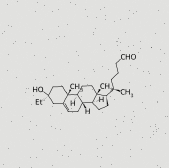 CC[C@]1(O)CC[C@@]2(C)C(=CC[C@H]3[C@@H]4CC[C@H]([C@H](C)CCCC=O)[C@@]4(C)CC[C@@H]32)C1